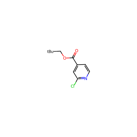 CC(C)(C)COC(=O)c1ccnc(Cl)c1